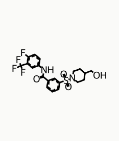 O=C(Nc1ccc(F)c(C(F)(F)F)c1)c1cccc(S(=O)(=O)N2CCC(CO)CC2)c1